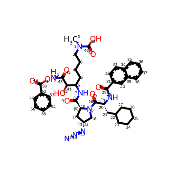 CN(CCCCC(NC(=O)[C@@H]1C[C@@H](N=[N+]=[N-])CN1C(=O)[C@@H](CC1CCCCC1)NC(=O)c1ccc2ccccc2c1)C(O)C(N)=O)C(=O)O.O=C(O)c1ccccc1